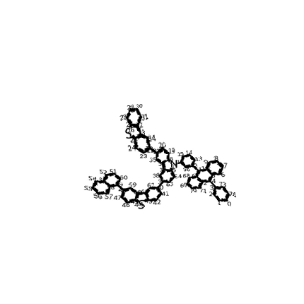 c1ccc(-c2c3ccccc3c(-c3cccc(-n4c5ccc(-c6ccc7sc8ccccc8c7c6)cc5c5cc(-c6ccc7sc8ccc(-c9cccc%10ccccc9%10)cc8c7c6)ccc54)c3)c3ccccc23)cc1